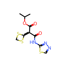 CC(C)OC(=O)C(C(=O)Nc1nncs1)=C1SCS1